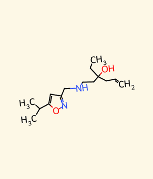 C=CCC(O)(CC)CCNCc1cc(C(C)C)on1